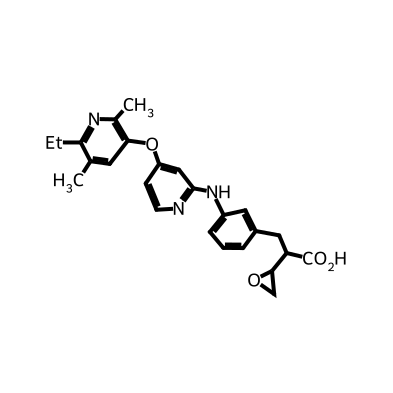 CCc1nc(C)c(Oc2ccnc(Nc3cccc(CC(C(=O)O)C4CO4)c3)c2)cc1C